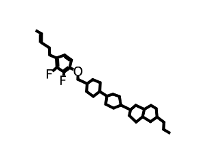 C/C=C/CCc1ccc(OCC2CCC(C3CCC(C4CCC5CC(CCC)CCC5C4)CC3)CC2)c(F)c1F